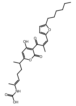 CCCCCCc1ccc(/C=C(/C)C(=O)c2c(O)cc(C(C)CC/C=C(\C)NC(=O)O)oc2=O)o1